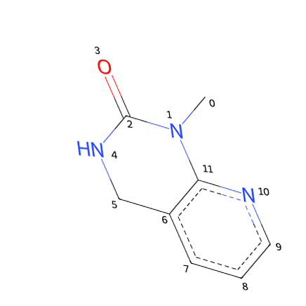 CN1C(=O)NCc2cccnc21